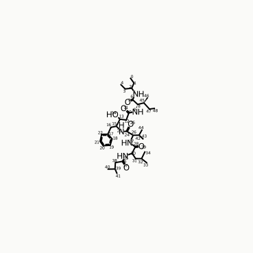 CCC(CC)NC(=O)[C@@H](NC(=O)CC(O)C(Cc1ccccc1)NC(=O)C(NC(=O)C(CC(C)C)NC(=O)CC(C)C)C(C)C)[C@@H](C)CC